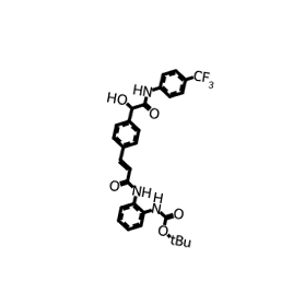 CC(C)(C)OC(=O)Nc1ccccc1NC(=O)C=Cc1ccc(C(O)C(=O)Nc2ccc(C(F)(F)F)cc2)cc1